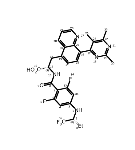 CC[C@@H](Nc1cc(F)c(C(=O)N[C@@H](Cc2ccc(-c3nc(C)nc(C)c3C)c3ncccc23)C(=O)O)c(F)c1)C(F)(F)F